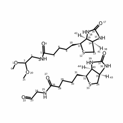 COC(CNC(=O)CCCC[C@@H]1SC[C@@H]2NC(=O)N[C@@H]21)OC.O=CCNC(=O)CCCC[C@@H]1SC[C@@H]2NC(=O)N[C@@H]21